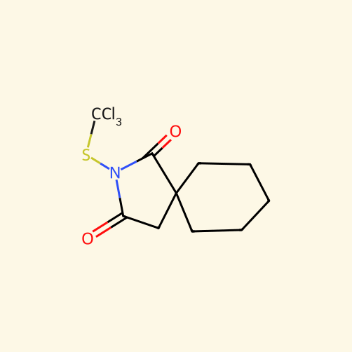 O=C1CC2(CCCCC2)C(=O)N1SC(Cl)(Cl)Cl